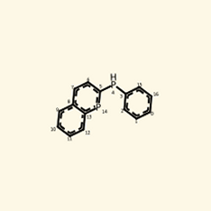 c1ccc(Pc2ccc3ccccc3p2)cc1